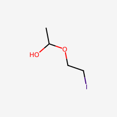 CC(O)OCCI